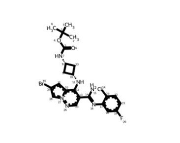 CC(C)(C)OC(=O)N[C@H]1C[C@@H](Nc2c(/C(N)=N/c3cc(F)ccc3Cl)cnn3cc(Br)cc23)C1